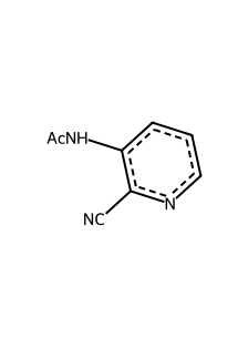 CC(=O)Nc1cccnc1C#N